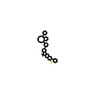 CC1(C)C2=CCC(C3=CCCC(c4ccccccc(-c5ccccc5)c5ccccc45)=C3)C=C2c2cc3cc4c(cc3cc21)sc1ccccc14